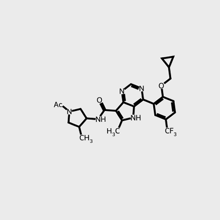 CC(=O)N1CC(C)C(NC(=O)c2c(C)[nH]c3c(-c4cc(C(F)(F)F)ccc4OCC4CC4)ncnc23)C1